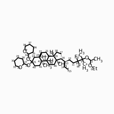 CCO[C@H](C)OC(C)(C)C(F)(F)CC[C@@H](CI)[C@H]1CC[C@H]2[C@@H]3CC=C4CC(OC5CCCCO5)(OC5CCCCO5)CC[C@]4(C)[C@H]3CC[C@]12C